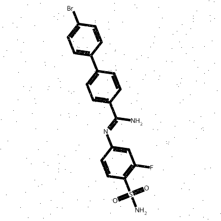 NC(=Nc1ccc(S(N)(=O)=O)c(F)c1)c1ccc(-c2ccc(Br)cc2)cc1